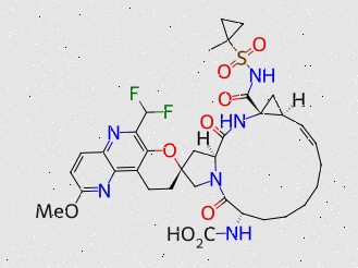 COc1ccc2nc(C(F)F)c3c(c2n1)CC[C@]1(C[C@H]2C(=O)N[C@]4(C(=O)NS(=O)(=O)C5(C)CC5)C[C@H]4C=CCCCCC[C@H](NC(=O)O)C(=O)N2C1)O3